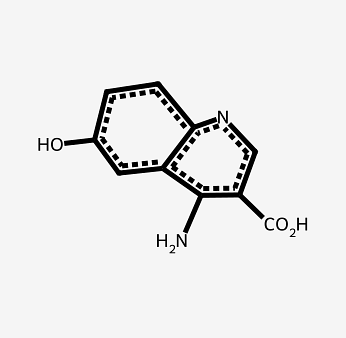 Nc1c(C(=O)O)cnc2ccc(O)cc12